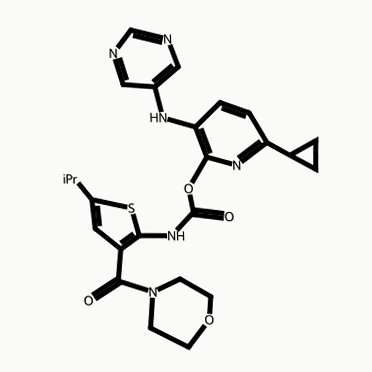 CC(C)c1cc(C(=O)N2CCOCC2)c(NC(=O)Oc2nc(C3CC3)ccc2Nc2cncnc2)s1